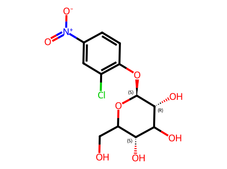 O=[N+]([O-])c1ccc(O[C@@H]2OC(CO)[C@@H](O)C(O)[C@H]2O)c(Cl)c1